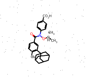 C[SiH](C)ON(C(=O)c1ccc(C(C)(C)C)c(C23CC4CC(CC(C4)C2)C3)c1)c1ccc(C(=O)O)cc1